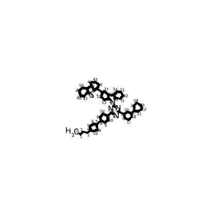 CCCCc1ccc(-c2ccc(-c3nc(-c4cccc(-c5ccccc5)c4)nc(-n4c5ccccc5c5cc(-c6cccc7c6sc6ccccc67)ccc54)n3)cc2)cc1